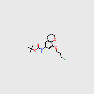 CC(C)(C)OC(=O)Nc1cc2c(c(OCCCCl)c1)OCCC2